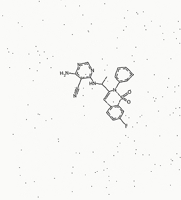 CC(Nc1ncnc(N)c1C#N)C1=Cc2ccc(F)cc2S(=O)(=O)N1c1ccccc1